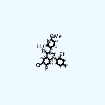 CCc1cc(F)ccc1N1CN(c2ccc(OC)nc2C)C(=O)c2cc(Cl)c(F)cc21